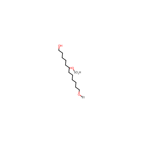 CCOCCCCCCCCCCCCO.O=S(=O)(O)O